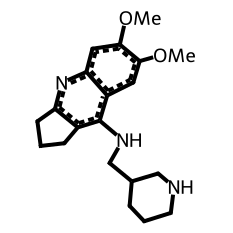 COc1cc2nc3c(c(NCC4CCCNC4)c2cc1OC)CCC3